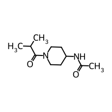 CC(=O)NC1CCN(C(=O)C(C)C)CC1